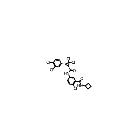 O=C(NC1CCC1)c1cc(NC(=O)[C@H]2[C@H](c3ccc(Cl)c(Cl)c3)C2(Cl)Cl)ccc1Cl